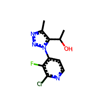 Cc1nnn(-c2ccnc(Cl)c2F)c1C(C)O